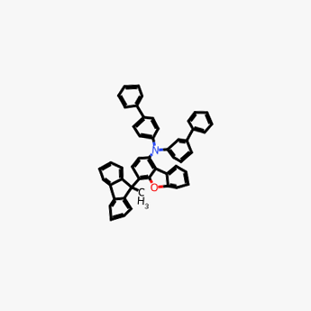 CC1(c2ccc(N(c3ccc(-c4ccccc4)cc3)c3cccc(-c4ccccc4)c3)c3c2oc2ccccc23)c2ccccc2-c2ccccc21